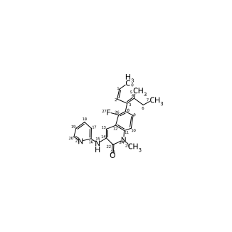 C/C=C\C(=C(/C)CC)c1ccc2c(cc(Nc3ccccn3)c(=O)n2C)c1F